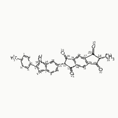 Cc1ccc(-c2nc3ccc(C4C(=O)c5cc6c(cc5C4=O)C(=O)C(C)C6=O)cc3[nH]2)cc1